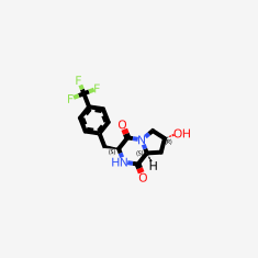 O=C1N[C@@H](Cc2ccc(C(F)(F)F)cc2)C(=O)N2C[C@H](O)C[C@@H]12